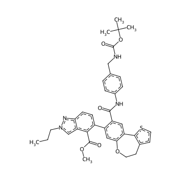 CCCn1cc2c(C(=O)OC)c(-c3cc4c(cc3C(=O)Nc3ccc(CNC(=O)OC(C)(C)C)cc3)-c3sccc3CCO4)ccc2n1